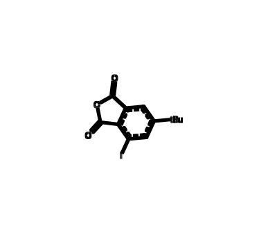 CC(C)(C)c1cc(I)c2c(c1)C(=O)OC2=O